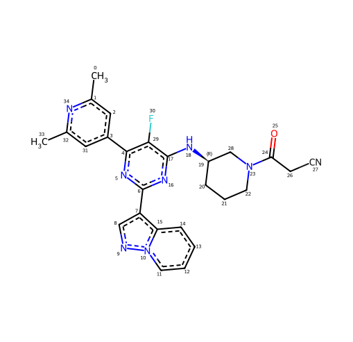 Cc1cc(-c2nc(-c3cnn4ccccc34)nc(N[C@@H]3CCCN(C(=O)CC#N)C3)c2F)cc(C)n1